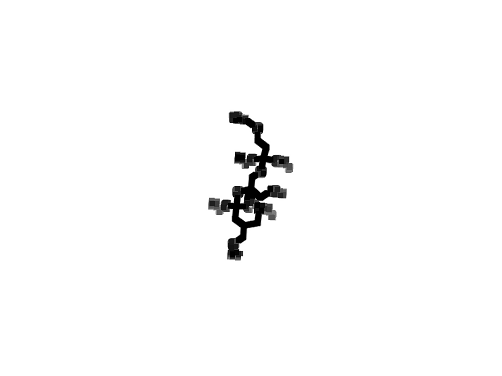 CC(C)OCC(CN)CC(C)(C)OC(COC(C)(C)CCOC(C)(C)C)CC(C)(C)C